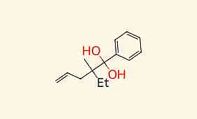 C=CCC(C)(CC)C(O)(O)c1ccccc1